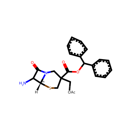 CC(=O)OCC1(C(=O)OC(c2ccccc2)c2ccccc2)CS[C@@H]2C(N)C(=O)N2C1